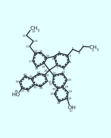 CCCCc1ccc2c(c1)-c1cc(CCCC)ccc1C2(c1ccc2cc(O)ccc2c1)c1ccc2cc(O)ccc2c1